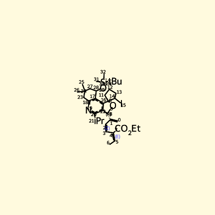 C=C(/C=C\C(=C/C)C(=O)OCC)[C@H]1OC2(CCCC2I)c2c3c(nc(C(C)C)c21)CC(C)(C)CC3O[Si](C)(C)C(C)(C)C